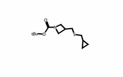 CC(C)(C)OC(=O)N1CC(CSCC2CC2)C1